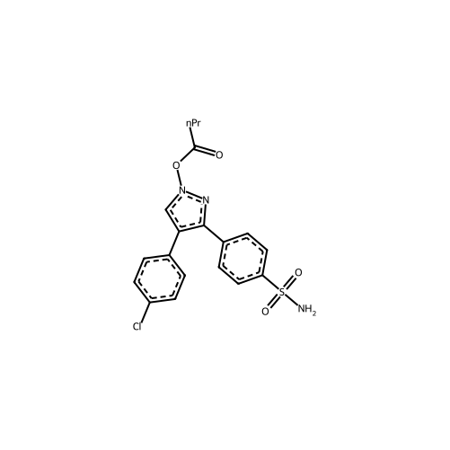 CCCC(=O)On1cc(-c2ccc(Cl)cc2)c(-c2ccc(S(N)(=O)=O)cc2)n1